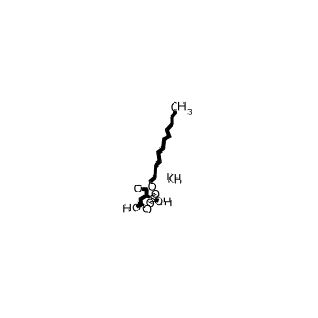 CCCCCCCCCCCCCOC(=O)C(CC(=O)O)S(=O)(=O)O.[KH]